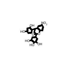 O=[N+]([O-])c1ccc2c(c1)C1CC(c3cc(O)c(O)c(O)c3)(O2)Oc2cc(O)cc(O)c21